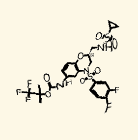 CC(C)(OC(=O)Nc1ccc2c(c1)N(S(=O)(=O)c1ccc(F)c(F)c1)C[C@H](CNS(=O)(=O)C1CC1)O2)C(F)(F)F